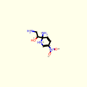 NCC(O)C1(N)C=CC([N+](=O)[O-])=CN1